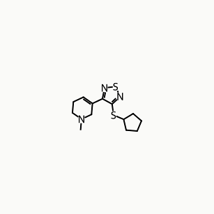 CN1CCC=C(c2nsnc2SC2CCCC2)C1